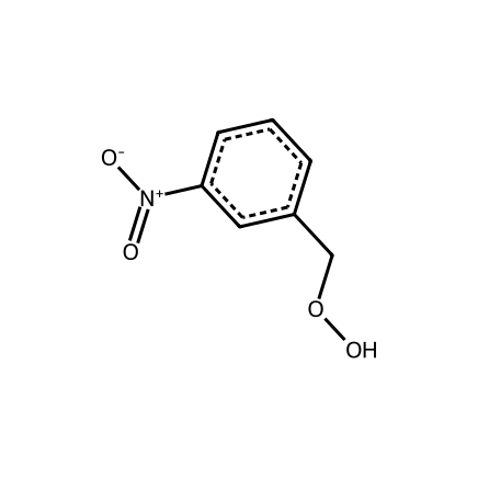 O=[N+]([O-])c1cccc(COO)c1